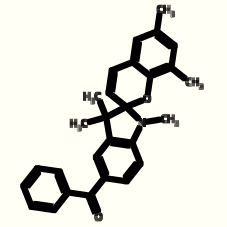 Cc1cc(C)c2c(c1)C=CC1(O2)N(C)c2ccc(C(=O)c3ccccc3)cc2C1(C)C